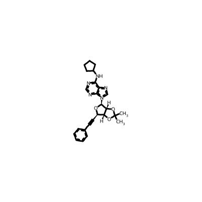 CC1(C)O[C@@H]2[C@H](O1)[C@@H](C#Cc1ccccc1)O[C@H]2n1cnc2c(NC3CCCC3)ncnc21